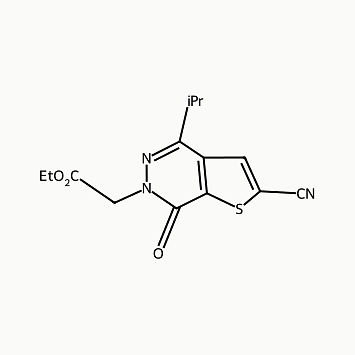 CCOC(=O)Cn1nc(C(C)C)c2cc(C#N)sc2c1=O